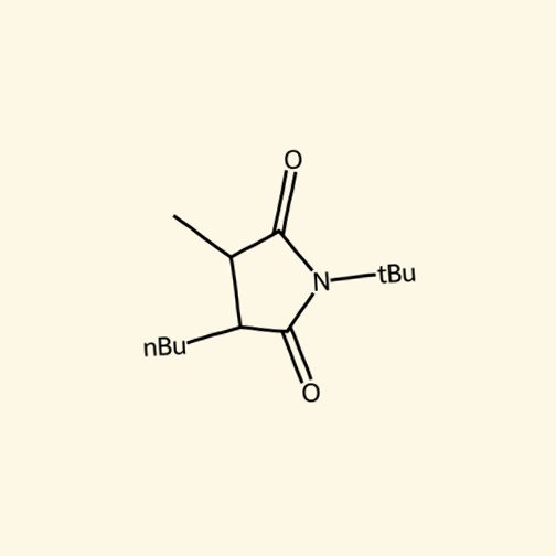 CCCCC1C(=O)N(C(C)(C)C)C(=O)C1C